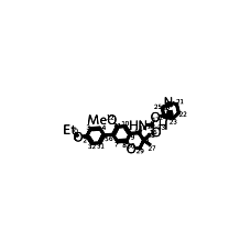 CCOc1ccc(-c2cc3c(cc2OC)C(NC(=O)O[C@H]2CN4CCC2CC4)C(C)(C)CO3)cc1